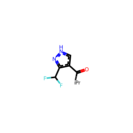 CC(C)C(=O)c1c[nH]nc1C(F)F